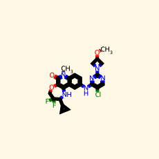 COC1CN(c2ncc(Cl)c(Nc3ccc4c(c3)c3c(c(=O)n4C)OCC(F)(F)C(C4CC4)N3)n2)C1